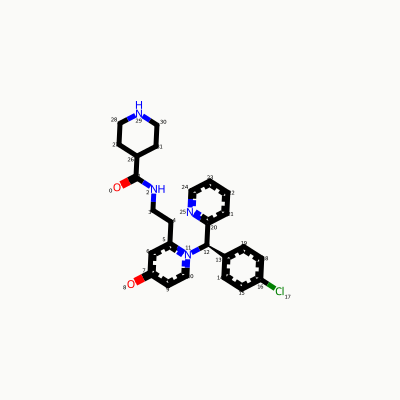 O=C(NCCc1cc(=O)ccn1[C@H](c1ccc(Cl)cc1)c1ccccn1)C1CCNCC1